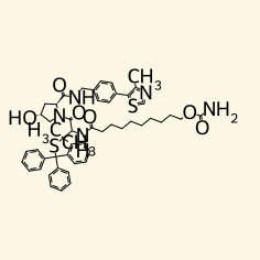 Cc1ncsc1-c1ccc(CNC(=O)[C@@H]2C[C@@H](O)CN2C(=O)C(NC(=O)CCCCCCCCCOC(N)=O)C(C)(C)SC(c2ccccc2)(c2ccccc2)c2ccccc2)cc1